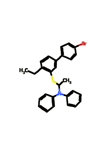 CCc1ccc(-c2ccc(Br)cc2)cc1SC(C)N(c1ccccc1)c1ccccc1